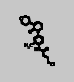 Cc1cc(N2CCC=C(N3CCOCC3)C2=O)ccc1NC(=O)CCCCl